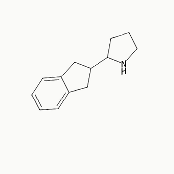 c1ccc2c(c1)CC(C1CCCN1)C2